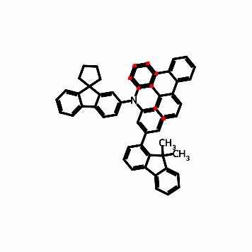 CC1(C)c2ccccc2-c2cccc(-c3cccc(N(c4ccc5c(c4)C4(CCCC4)c4ccccc4-5)c4ccccc4-c4ccccc4-c4ccccc4-c4ccccc4)c3)c21